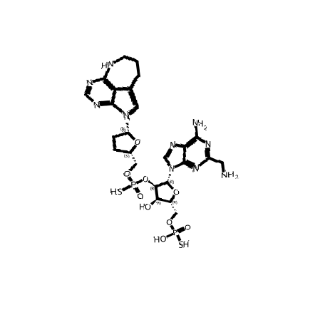 NCc1nc(N)c2ncn([C@@H]3O[C@H](COP(=O)(O)S)[C@@H](O)[C@H]3OP(=O)(S)OC[C@@H]3CC[C@H](n4cc5c6c(ncnc64)NCCC5)O3)c2n1